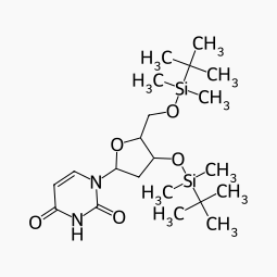 CC(C)(C)[Si](C)(C)OCC1OC(n2ccc(=O)[nH]c2=O)CC1O[Si](C)(C)C(C)(C)C